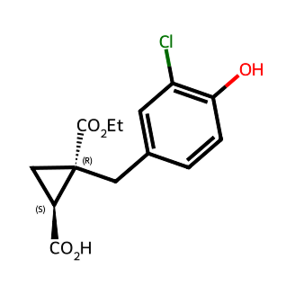 CCOC(=O)[C@@]1(Cc2ccc(O)c(Cl)c2)C[C@@H]1C(=O)O